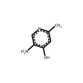 Cc1cc(O)c(N)cn1